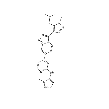 CC(C)Cc1c(-c2nnc3cc(-c4ccnc(Nc5ccnn5C)n4)ccn23)cnn1C